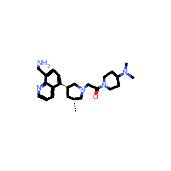 C[C@@H]1C[C@H](c2ccc(CN)c3ncccc23)CN(CC(=O)N2CCC(N(C)C)CC2)C1